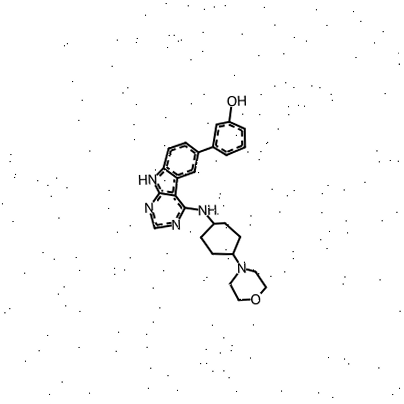 Oc1cccc(-c2ccc3[nH]c4ncnc(NC5CCC(N6CCOCC6)CC5)c4c3c2)c1